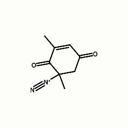 CC1=CC(=O)CC(C)([N+]#N)C1=O